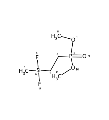 COP(=O)(CC[Si](C)(F)F)OC